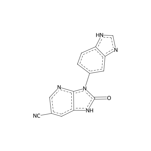 N#Cc1cnc2c(c1)[nH]c(=O)n2-c1ccc2[nH]cnc2c1